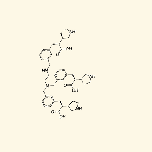 O=C(O)[C@@H](Cc1cccc(CNCCN(Cc2cccc(C[C@H](C(=O)O)[C@H]3CCNC3)c2)Cc2cccc(C[C@H](C(=O)O)[C@H]3CCNC3)c2)c1)[C@H]1CCNC1